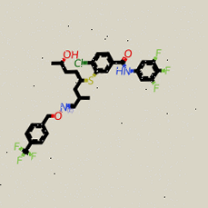 CC(O)CCC(CC(C)/C=N/OCc1ccc(C(F)(F)F)cc1)Sc1cc(C(=O)Nc2cc(F)c(F)c(F)c2)ccc1Cl